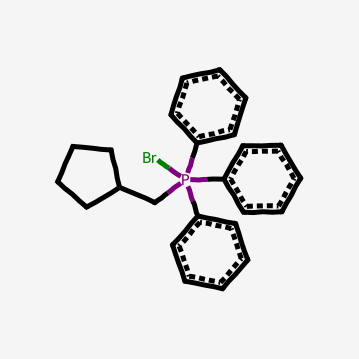 BrP(CC1CCCC1)(c1ccccc1)(c1ccccc1)c1ccccc1